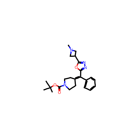 CN1CC(c2nnc(C(=C3CCN(C(=O)OC(C)(C)C)CC3)c3ccccc3)o2)C1